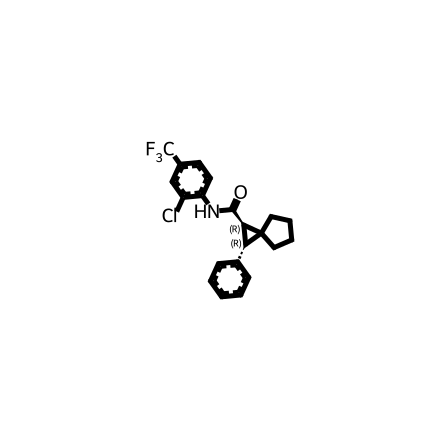 O=C(Nc1ccc(C(F)(F)F)cc1Cl)[C@@H]1[C@@H](c2ccccc2)C12CCCC2